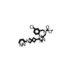 COC(=O)N1Cc2cc(Cl)ccc2-n2c(nnc2C2CC3(C2)CN(c2cccnn2)C3)C1